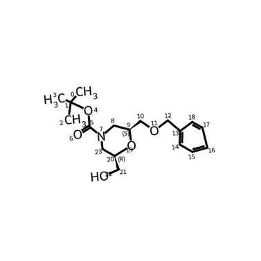 CC(C)(C)OC(=O)N1C[C@@H](COCc2ccccc2)O[C@@H](CO)C1